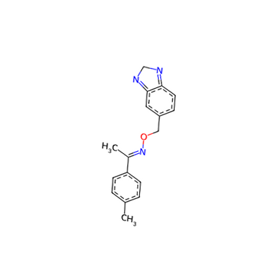 C/C(=N\OCc1ccc2c(c1)=NCN=2)c1ccc(C)cc1